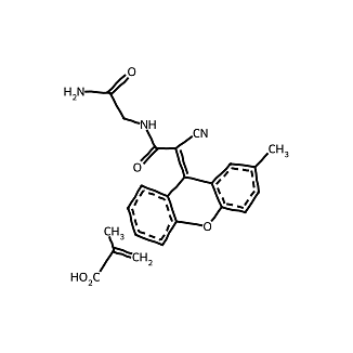 C=C(C)C(=O)O.Cc1ccc2c(c1)C(=C(C#N)C(=O)NCC(N)=O)c1ccccc1O2